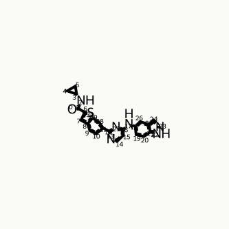 O=C(NC1CC1)c1cc2ccc(-c3nccc(Nc4ccc5[nH]ncc5c4)n3)cc2s1